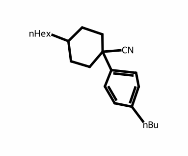 CCCCCCC1CCC(C#N)(c2ccc(CCCC)cc2)CC1